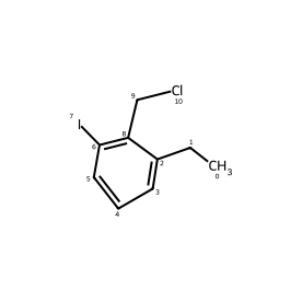 CCc1cccc(I)c1CCl